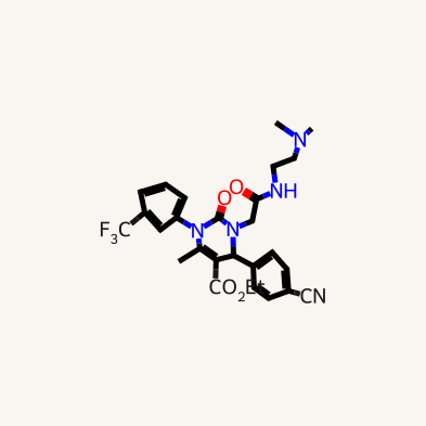 CCOC(=O)C1=C(C)N(c2cccc(C(F)(F)F)c2)C(=O)N(CC(=O)NCCN(C)C)C1c1ccc(C#N)cc1